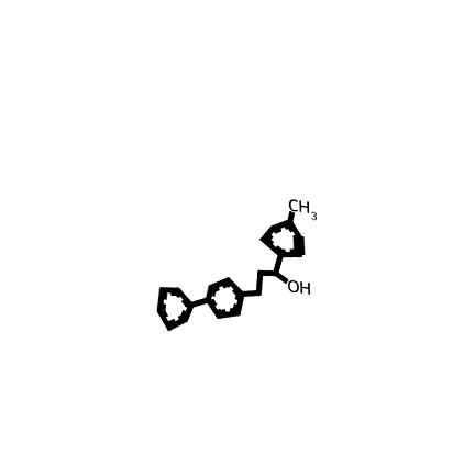 Cc1c#cc(C(O)CCc2ccc(-c3ccccc3)cc2)cc1